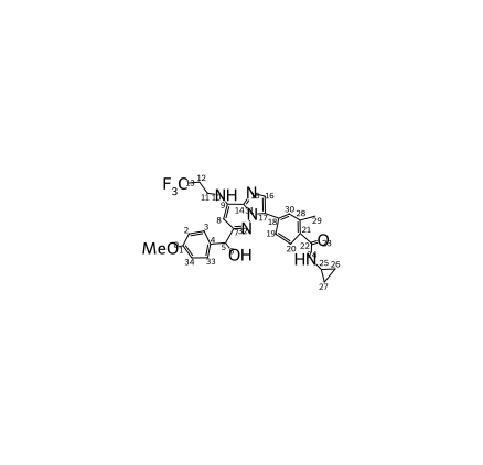 COc1ccc(C(O)c2cc(NCCC(F)(F)F)c3ncc(-c4ccc(C(=O)NC5CC5)c(C)c4)n3n2)cc1